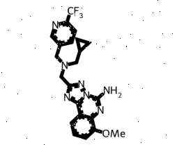 COc1cccc2c1nc(N)n1nc(CN(Cc3ccc(C(F)(F)F)nc3)CC3CC3)nc21